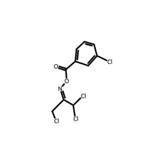 O=C(ON=C(CCl)C(Cl)Cl)c1cccc(Cl)c1